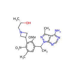 COc1c(C(C)n2nc(C)c3c(N)ncnc32)cc(C)c([N+](=O)[O-])c1C1CN(C[C@H](C)O)C1